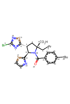 CC(C)C[C@@]1(C(=O)O)C[C@@H](c2nc(Br)ns2)[C@H](c2nccs2)N1C(=O)c1ccc(C(C)(C)C)cc1